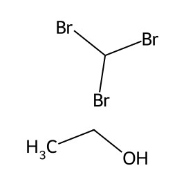 BrC(Br)Br.CCO